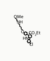 CCOC(=O)N1CCc2c([nH]c3ccc(Cl)cc23)C1c1ccc(OCCCCCCNCCCOC)cc1